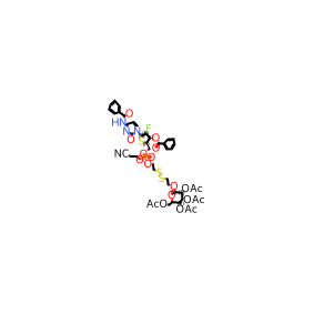 CC(=O)OCC1O[C@@H](OCCSSCCOP(=O)(OCCC#N)OC[C@H]2S[C@@H](n3ccc(NC(=O)c4ccccc4)nc3=O)[C@@H](F)[C@@H]2OC(=O)c2ccccc2)[C@@H](OC(C)=O)C(OC(C)=O)[C@@H]1OC(C)=O